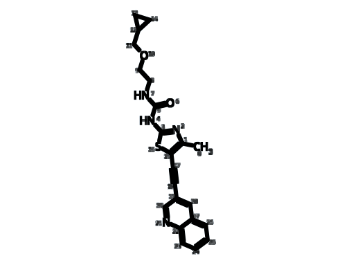 Cc1nc(NC(=O)NCCOCC2CC2)sc1C#Cc1cnc2ccccc2c1